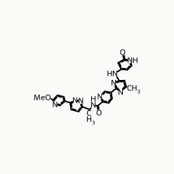 COc1ccc(-c2ccc(C(C)NC(=O)c3ccc(-c4nc(C)cc(Nc5cc[nH]c(=O)c5)n4)cn3)nn2)cn1